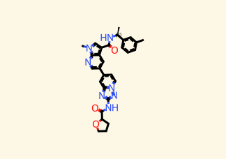 Cc1cccc([C@H](C)NC(=O)c2cn(C)c3ncc(-c4ccn5nc(NC(=O)C6CCCO6)nc5c4)cc23)c1